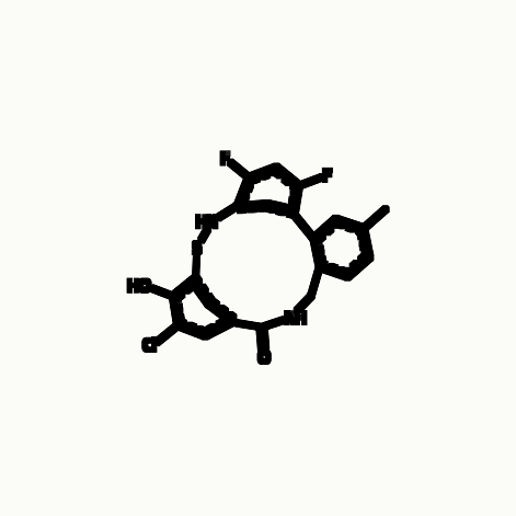 Cc1ccc2c(c1)-c1cc(c(F)cc1F)NSc1cc(cc(Cl)c1O)C(=O)NC2